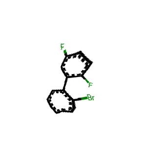 Fc1ccc(F)c(-c2ccccc2Br)c1